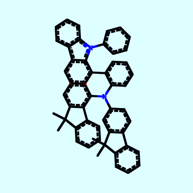 CC1(C)c2ccccc2-c2ccc(N(c3ccccc3-c3cccc4c5ccccc5n(-c5ccccc5)c34)c3cccc4c3-c3ccccc3C4(C)C)cc21